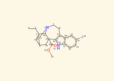 CCC1=CC2CN3CCc4c([nH]c5ccc(I)cc45)C(C(=O)OC)(C2)C13